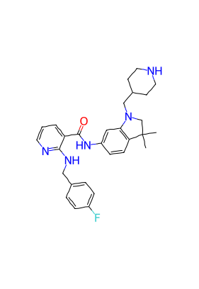 CC1(C)CN(CC2CCNCC2)c2cc(NC(=O)c3cccnc3NCc3ccc(F)cc3)ccc21